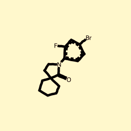 O=C1N(c2ccc(Br)cc2F)CCC12CCCCC2